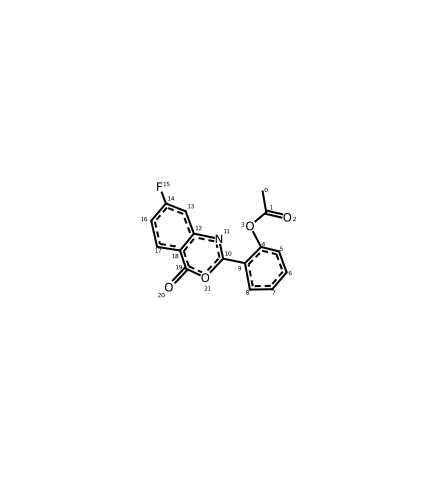 CC(=O)Oc1ccccc1-c1nc2cc(F)ccc2c(=O)o1